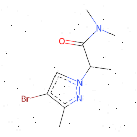 Cc1nn(C(C)C(=O)N(C)C)cc1Br